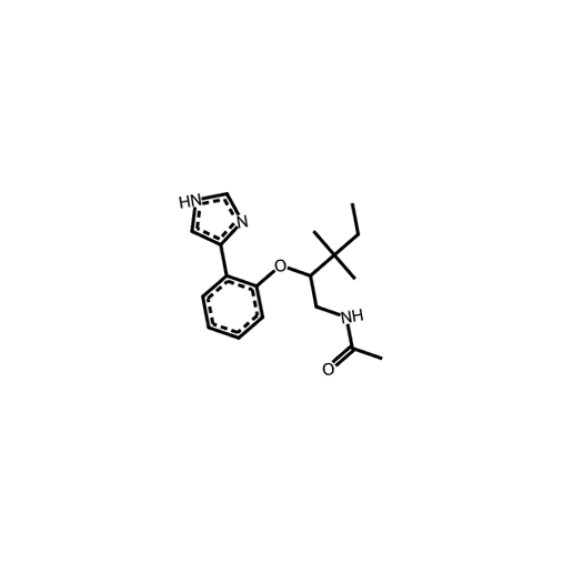 CCC(C)(C)C(CNC(C)=O)Oc1ccccc1-c1c[nH]cn1